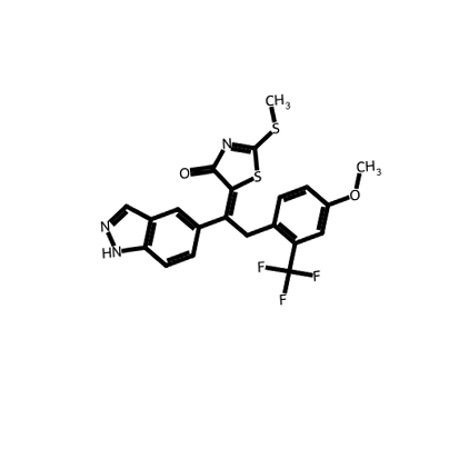 COc1ccc(CC(=C2SC(SC)=NC2=O)c2ccc3[nH]ncc3c2)c(C(F)(F)F)c1